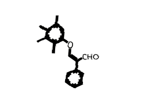 Cc1cc(O/C=C(\C=O)c2ccccc2)c(C)c(C)c1C